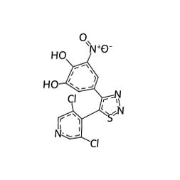 O=[N+]([O-])c1cc(-c2nnsc2-c2c(Cl)cncc2Cl)cc(O)c1O